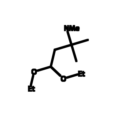 CCOC(CC(C)(C)NC)OCC